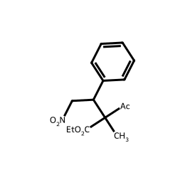 CCOC(=O)C(C)(C(C)=O)C(C[N+](=O)[O-])c1ccccc1